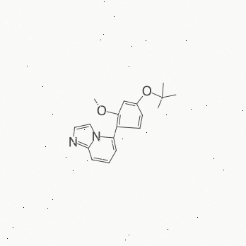 COc1cc(OC(C)(C)C)ccc1-c1cccc2nccn12